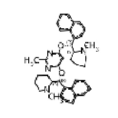 Cc1nc(O[C@H](c2cccc3ccccc23)[C@@H]2CCCCN2C)cc(O[C@H](c2cccc3ccccc23)[C@@H]2CCCCN2C)n1